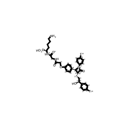 NCCCC[C@@H](NC(=O)CNC(=O)COc1ccc([C@@H]2[C@@H](SC[C@H](O)c3ccc(F)cc3)C(=O)N2c2ccc(F)cc2)cc1)C(=O)O